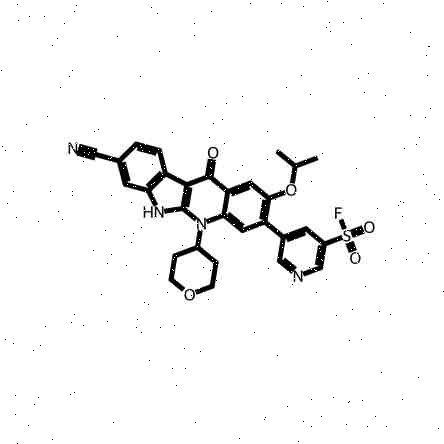 CC(C)Oc1cc2c(=O)c3c4ccc(C#N)cc4[nH]c3n(C3CCOCC3)c2cc1-c1cncc(S(=O)(=O)F)c1